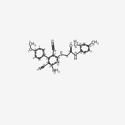 COc1ccc(-c2c(C#N)c(N)nc(SCC(=O)Nc3ccc(C)cc3C)c2C#N)cc1